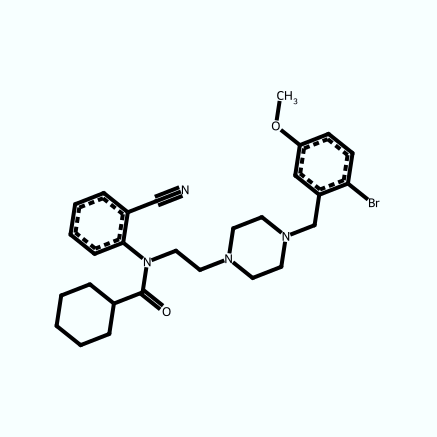 COc1ccc(Br)c(CN2CCN(CCN(C(=O)C3CCCCC3)c3ccccc3C#N)CC2)c1